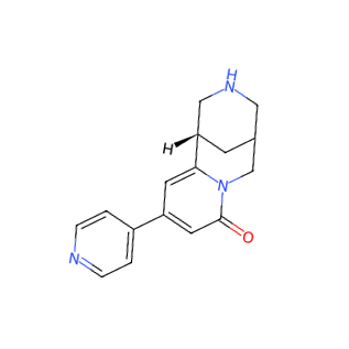 O=c1cc(-c2ccncc2)cc2n1CC1CNC[C@@H]2C1